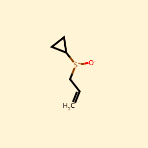 C=CC[S+]([O-])C1CC1